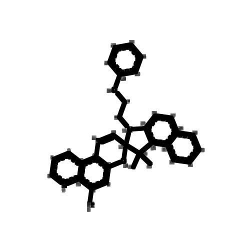 CCc1cc2c(c3cccnc13)N=CC1(O2)N(CCOc2ccccc2)c2ccc3ccccc3c2C1(C)C